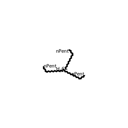 CCCCC/C=C\C/C=C\CCCCCCCCCC[N+](C)(CCCCCCCCCC/C=C\C/C=C\CCCCC)CCCCCCCCCC/C=C\C/C=C\CCCCC